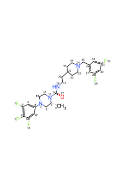 C[C@@H]1CN(c2cc(F)c(F)c(F)c2)CCN1C(=O)NCCC1CCN(Cc2cc(F)cc(F)c2)CC1